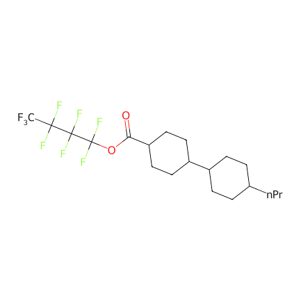 CCCC1CCC(C2CCC(C(=O)OC(F)(F)C(F)(F)C(F)(F)C(F)(F)F)CC2)CC1